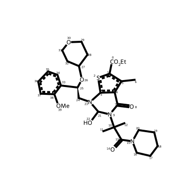 CCOC(=O)c1sc2c(c1C)C(=O)N(C(C)(C)C(=O)N1CCCCC1)C(O)N2C[C@H](OC1CCOCC1)c1ccccc1OC